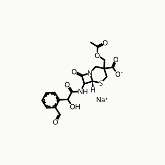 CC(=O)OCC1(C(=O)[O-])CS[C@@H]2C(NC(=O)C(O)c3ccccc3C=O)C(=O)N2C1.[Na+]